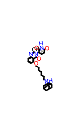 Cc1nc2cccc(OCCCCCCCNC34CC5CC(CC(C5)C3)C4)c2c(=O)n1[C@@H]1CCC(=O)NC1=O